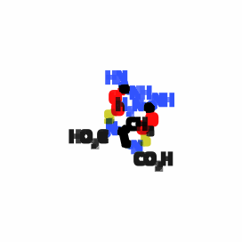 CC(CN(SOOC(=N)N)C(=O)O)N(SOOC(=N)N)C(=O)O